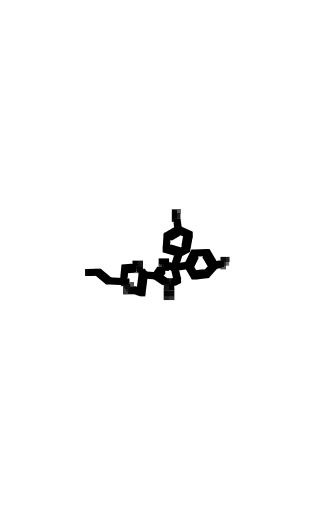 CCCc1cnc(C2=NC(c3ccc(F)cc3)(c3ccc(F)cc3)CN2)cn1